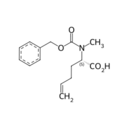 C=CCC[C@@H](C(=O)O)N(C)C(=O)OCc1ccccc1